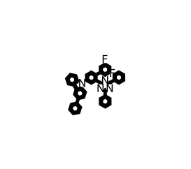 Fc1cc(F)cc(-c2ccc(-n3c4ccccc4c4cc(-c5ccccc5)ccc43)cc2-c2nc(-c3ccccc3)nc(-c3ccccc3)n2)c1